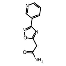 NC(=O)[CH]c1nc(-c2cccnc2)no1